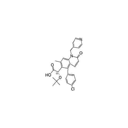 Cc1cc2c(ccc(=O)n2Cc2ccncc2)c(-c2ccc(Cl)cc2)c1[C@H](OC(C)(C)C)C(=O)O